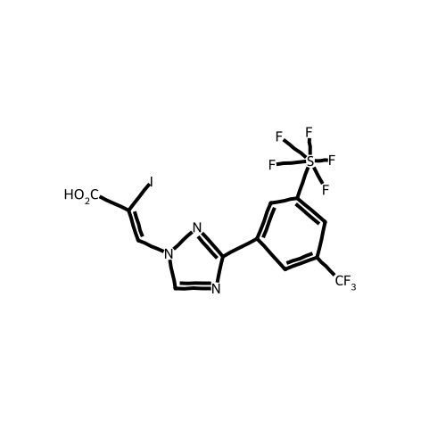 O=C(O)C(I)=Cn1cnc(-c2cc(C(F)(F)F)cc(S(F)(F)(F)(F)F)c2)n1